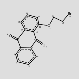 O=C1c2ccccc2C(=O)c2c(OCCBr)cccc21